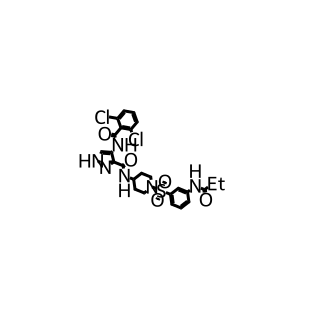 CCC(=O)Nc1cccc(S(=O)(=O)N2CCC(NC(=O)c3n[nH]cc3NC(=O)c3c(Cl)cccc3Cl)CC2)c1